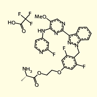 COc1cnc(-c2nn(Cc3c(F)cc(OCCOC(=O)[C@H](C)N)cc3F)c3ccccc23)nc1Nc1ccnc(F)c1.O=C(O)C(F)(F)F